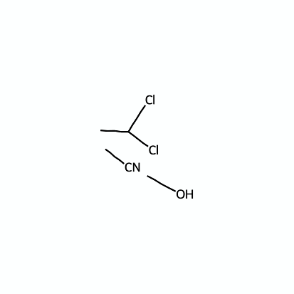 CC#N.CC(Cl)Cl.CO